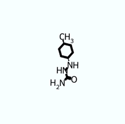 C[C@H]1CC[C@H](NNC(N)=O)CC1